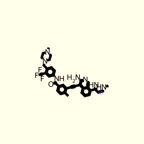 CN/C=C\C(=N)c1cccc2c(C#Cc3cc(C(=O)Nc4ccc(CN5CCN(C)CC5)c(C(F)(F)F)c4)ccc3C)c(N)ncc12